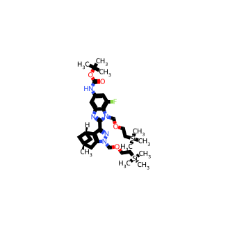 CC(C)(C)OC(=O)Nc1cc(F)c2c(c1)nc(-c1nn(COCC[Si](C)(C)C)c3c1[C@H]1C[C@@](C)(C3)C1)n2COCC[Si](C)(C)C